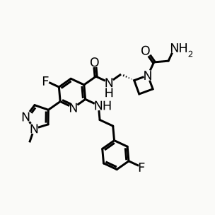 Cn1cc(-c2nc(NCCc3cccc(F)c3)c(C(=O)NC[C@H]3CCN3C(=O)CN)cc2F)cn1